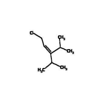 CC(C)C(=CCCl)C(C)C